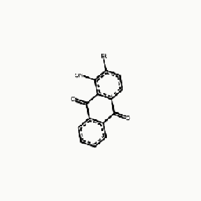 CCc1ccc2c(c1N=O)C(=O)c1ccccc1C2=O